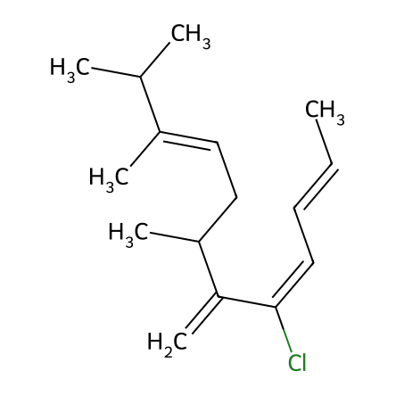 C=C(/C(Cl)=C\C=C\C)C(C)C/C=C(\C)C(C)C